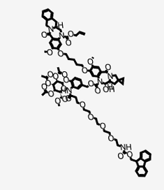 C=CCOC(=O)N1C[C@@H]2Cc3ccccc3CN2C(=O)c2cc(OC)c(OCCCCCOc3cc4c(cc3OC)C(=O)N3CC5(CC5)C[C@H]3[C@H](O)N4C(=O)OCc3ccc(O[C@@H]4O[C@H](C(=O)OC)[C@@H](OC(C)=O)[C@H](OC(C)=O)[C@H]4OC(C)=O)c(NC(=O)CCOCCOCCOCCOCCNC(=O)OCC4c5ccccc5-c5ccccc54)c3)cc21